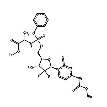 CC(C)OC(=O)[C@H](C)NP(=O)(OC[C@H]1O[C@@H](n2ccc(NC(=O)OC(C)(C)C)nc2=O)C(F)(F)[C@@H]1O)Oc1ccccc1